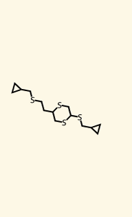 C(CC1CSC(SCC2CC2)CS1)SCC1CC1